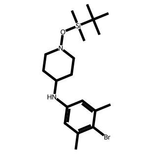 Cc1cc(NC2CCN(O[Si](C)(C)C(C)(C)C)CC2)cc(C)c1Br